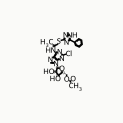 CC(=O)OC[C@H]1O[C@@H](n2cnc3c(N[C@H](C)CSc4n[nH]c(-c5ccccc5)n4)nc(Cl)nc32)[C@H](O)[C@@H]1O